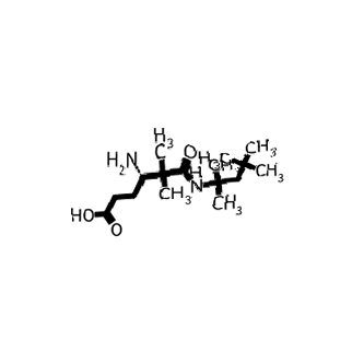 CC(C)(C)CC(C)(C)NC(=O)C(C)(C)[C@@H](N)CCC(=O)O